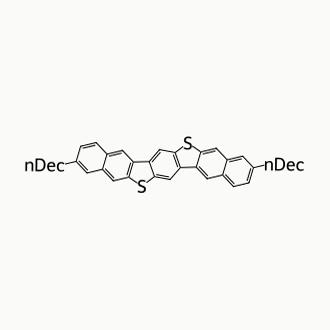 CCCCCCCCCCc1ccc2cc3c(cc2c1)sc1cc2c(cc13)sc1cc3cc(CCCCCCCCCC)ccc3cc12